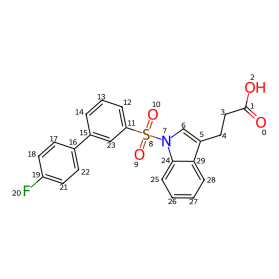 O=C(O)CCc1cn(S(=O)(=O)c2cccc(-c3ccc(F)cc3)c2)c2ccccc12